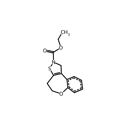 CCOC(=O)N1CC2=C(CCOc3ccccc32)S1